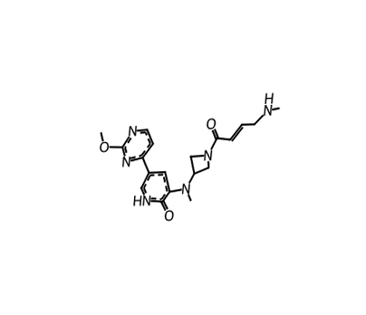 CNCC=CC(=O)N1CC(N(C)c2cc(-c3ccnc(OC)n3)c[nH]c2=O)C1